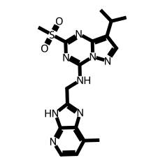 Cc1ccnc2[nH]c(CNc3nc(S(C)(=O)=O)nc4c(C(C)C)cnn34)nc12